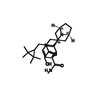 CC1(C)C(CN(CCN2[C@@H]3CC[C@H]2C[C@@H](c2cccc(C(N)=O)c2)C3)C(=O)CO)C1(C)C